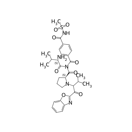 CC(C)C(C(=O)c1nc2ccccc2o1)N1CCC[C@H]1C(=O)N(C(=O)c1ccc(C(=O)NS(C)(=O)=O)cc1)C(=O)[C@@H](N)C(C)C